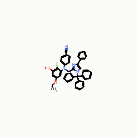 CCOc1cc(O)c(F)c(N(Cc2nc(-c3ccccc3)cn2C(c2ccccc2)(c2ccccc2)c2ccccc2)c2ccc(C#N)cc2)c1